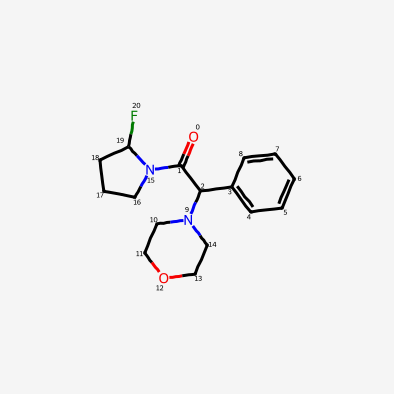 O=C(C(c1ccccc1)N1CCOCC1)N1CCCC1F